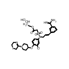 CCOC(=O)CS(=O)(=O)N(C/C=C/c1cccc(C(=N)N)c1)c1ccc(OC2CCN(C3=NCCSC3)CC2)c(Cl)c1.Cl.Cl